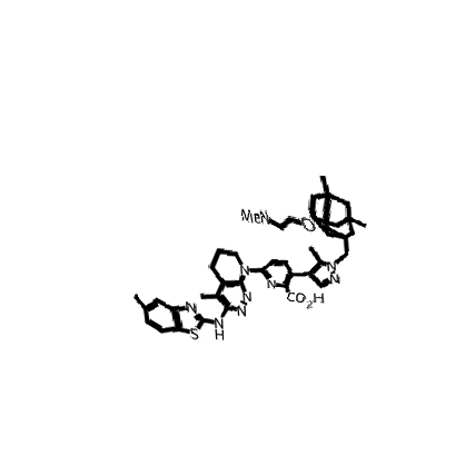 CNCCOC12CC3(C)CC(C)(CC(Cn4ncc(-c5ccc(N6CCCc7c6nnc(Nc6nc8cc(C)ccc8s6)c7C)nc5C(=O)O)c4C)(C3)C1)C2